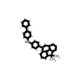 CC1(C)c2cccc3cc(-c4ccc(Nc5ccc(-c6ccccc6)cc5)cc4)c4cccc1c4c23